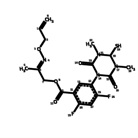 C=CCON=C(C)COC(=O)c1cc(N2C(=O)N(C)C(S)N(C)C2=O)c(F)cc1F